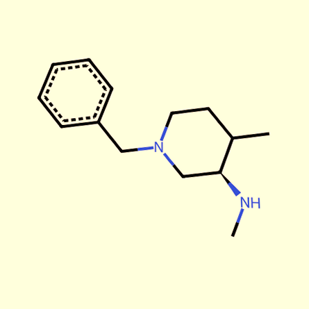 CN[C@H]1CN(Cc2ccccc2)CCC1C